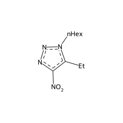 CCCCCCn1nnc([N+](=O)[O-])c1CC